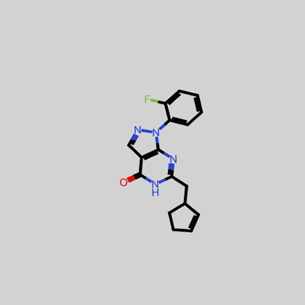 O=c1[nH]c(CC2C=CCC2)nc2c1cnn2-c1ccccc1F